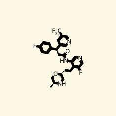 C[C@H]1CO[C@H](CCc2c(F)cncc2NC(=O)C[C@@H](c2ccc(F)cc2)c2cncc(C(F)(F)F)c2)CN1